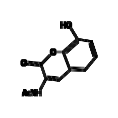 CC(=O)Nc1cc2cccc(O)c2oc1=O